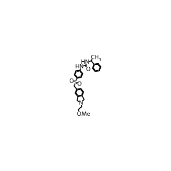 COCCN1Cc2ccc(CS(=O)(=O)c3ccc(NC(=O)NC(C)c4ccccc4)cc3)cc2C1